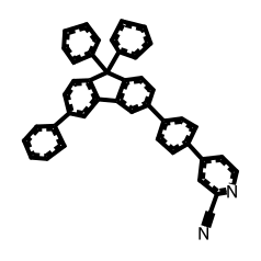 N#Cc1cc(-c2ccc(-c3ccc4c(c3)-c3cc(-c5ccccc5)ccc3C4(c3ccccc3)c3ccccc3)cc2)ccn1